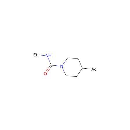 CCNC(=O)N1CCC(C(C)=O)CC1